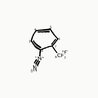 N#[N+]c1ccccc1C(F)(F)F.[F-]